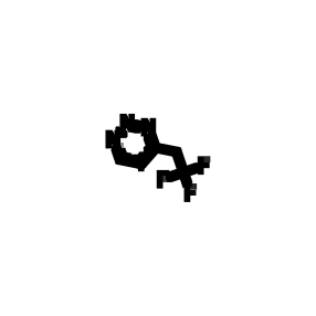 FC(F)(F)Cc1[c]cnnn1